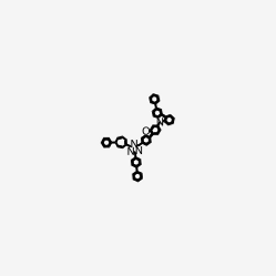 C1=CC(c2ccccc2)C=CC(c2nc(-c3ccc(-c4ccccc4)cc3)nc(-c3ccc4c(c3)oc3cc(-n5c6ccccc6c6cc(-c7ccccc7)ccc65)ccc34)n2)=C1